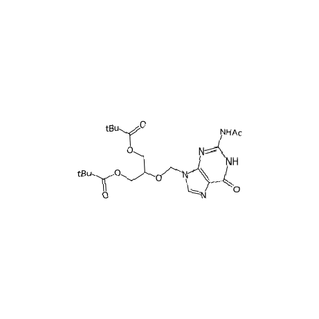 CC(=O)Nc1nc2c(ncn2COC(COC(=O)C(C)(C)C)COC(=O)C(C)(C)C)c(=O)[nH]1